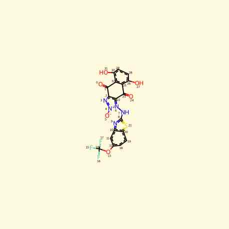 O=C1c2n[n+]([O-])n(Nc3nc4cc(OC(F)(F)F)ccc4s3)c2C(=O)c2c(O)ccc(O)c21